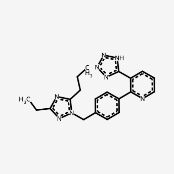 CCCc1nc(CC)nn1Cc1ccc(-c2ncccc2-c2nnn[nH]2)cc1